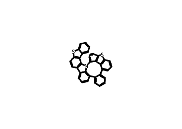 c1ccc2c(c1)sc1ccc3c4cccc5c6ccccc6c6cccc7sc8cccc(c8c76)n(c54)c3c12